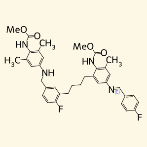 COC(=O)Nc1c(C)cc(NCc2ccc(F)c(CCCCc3cc(/N=C/c4ccc(F)cc4)cc(C)c3NC(=O)OC)c2)cc1C